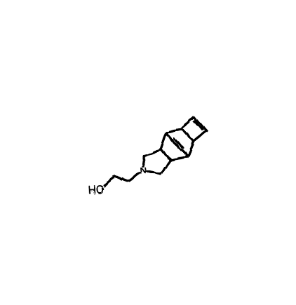 OCCN1CC2C3C=CC(C4C=CC43)C2C1